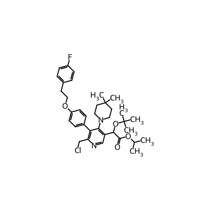 CC(C)OC(=O)C(OC(C)(C)C)c1cnc(CCl)c(-c2ccc(OCCc3ccc(F)cc3)cc2)c1N1CCC(C)(C)CC1